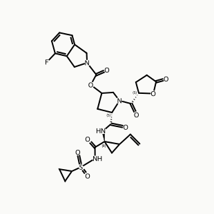 C=CC1C[C@]1(NC(=O)[C@@H]1CC(OC(=O)N2Cc3cccc(F)c3C2)CN1C(=O)[C@@H]1CCC(=O)O1)C(=O)NS(=O)(=O)C1CC1